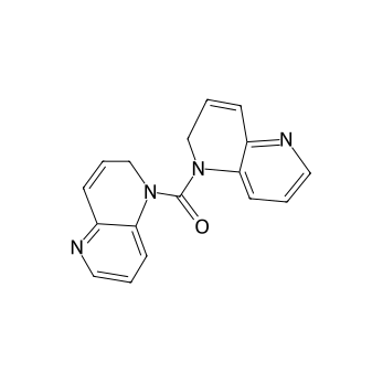 O=C(N1CC=Cc2ncccc21)N1CC=Cc2ncccc21